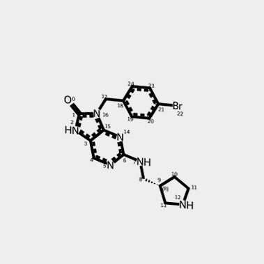 O=c1[nH]c2cnc(NC[C@@H]3CCNC3)nc2n1Cc1ccc(Br)cc1